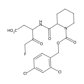 O=C(O)CC(NC(=O)C1CCCCN1C(=O)OCc1ccc(Cl)cc1Cl)C(=O)CF